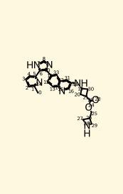 Cc1cccc(-c2[nH]cnc2-c2ccc3ncc(NC4CC(C(=O)OCC5CNC5)C4)cc3c2)n1